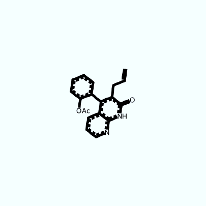 C=CCc1c(-c2ccccc2OC(C)=O)c2cccnc2[nH]c1=O